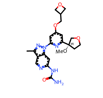 CO[C@@]1(c2cc(OCC3COC3)cc(-n3nc(C)c4cnc(NC(N)=O)cc43)n2)CCOC1